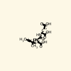 CC#CC(C)(C)C[C@H](NC(=O)N[C@@H](CCC(=O)O)C(=O)O)C(=O)O